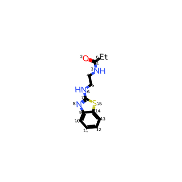 CCC(=O)NCCNc1nc2ccccc2s1